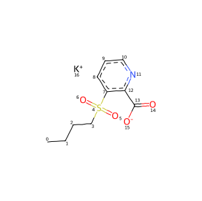 CCCCS(=O)(=O)c1cccnc1C(=O)[O-].[K+]